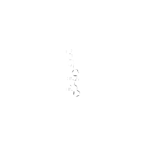 O=c1[nH]c2ccccc2cc1-c1nc2ccc(N3CCC(OC(F)(F)F)CC3)cc2[nH]1